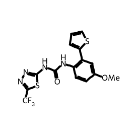 COc1ccc(NC(=O)Nc2nnc(C(F)(F)F)s2)c(-c2cccs2)c1